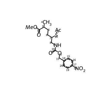 COC(=O)C(C)CCC(CNC(=O)OCc1ccc([N+](=O)[O-])cc1)SC(C)=O